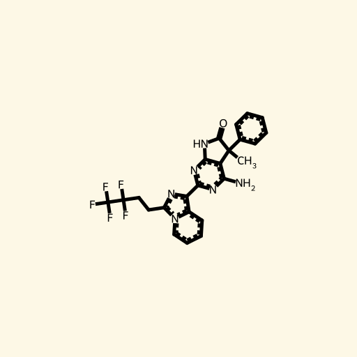 CC1(c2ccccc2)C(=O)Nc2nc(-c3nc(CCC(F)(F)C(F)(F)F)n4ccccc34)nc(N)c21